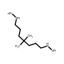 CCCNCCCC(C)(C)CCCNCCC